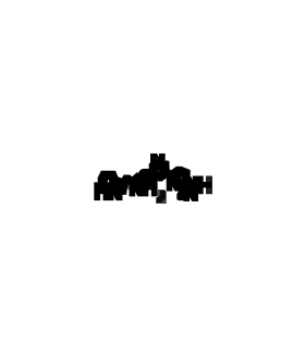 Cc1n[nH]c2ccc(-c3cncc(OC[C@@H](N)Cc4c[nH]c5ccccc45)c3)nc12